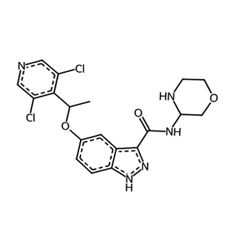 CC(Oc1ccc2[nH]nc(C(=O)NC3COCCN3)c2c1)c1c(Cl)cncc1Cl